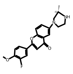 COc1ccc(-c2cc(=O)c3cc(N4CCN[C@@H](C)C4)ccc3o2)cc1F